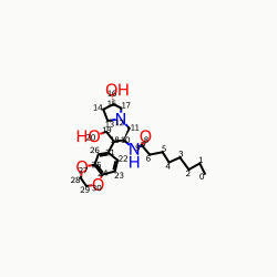 CCCCCCCC(=O)N[C@H](CN1CC[C@H](O)C1)C(CO)c1ccc2c(c1)OCCO2